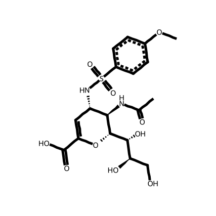 COc1ccc(S(=O)(=O)N[C@H]2C=C(C(=O)O)O[C@@H]([C@H](O)[C@H](O)CO)[C@@H]2NC(C)=O)cc1